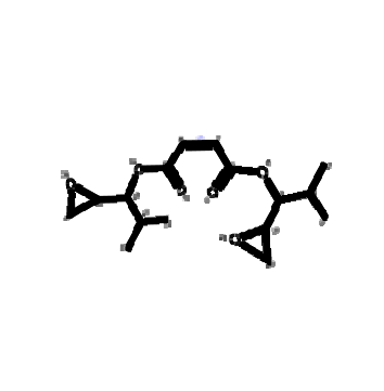 CC(C)C(OC(=O)/C=C\C(=O)OC(C(C)C)C1CO1)C1CO1